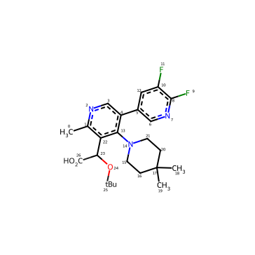 Cc1ncc(-c2cnc(F)c(F)c2)c(N2CCC(C)(C)CC2)c1C(OC(C)(C)C)C(=O)O